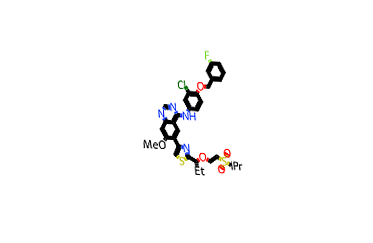 CCC(OCCS(=O)(=O)C(C)C)c1nc(-c2cc3c(Nc4ccc(OCc5cccc(F)c5)c(Cl)c4)ncnc3cc2OC)cs1